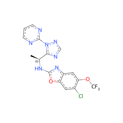 C[C@H](Nc1nc2cc(OC(F)(F)F)c(Cl)cc2o1)c1ncnn1-c1ncccn1